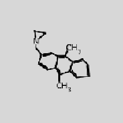 Cc1c2ccccc2c(C)c2cc(CN3CC3)ccc12